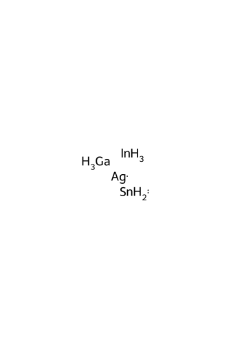 [Ag].[GaH3].[InH3].[SnH2]